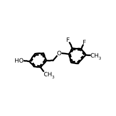 Cc1cc(O)ccc1COc1ccc(C)c(F)c1F